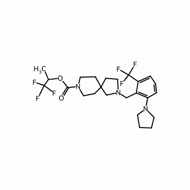 CC(OC(=O)N1CCC2(CCN(Cc3c(N4CCCC4)cccc3C(F)(F)F)C2)CC1)C(F)(F)F